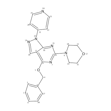 c1ccc(COc2nc(N3CCOCC3)nc3c2cnn3-c2ccncc2)cc1